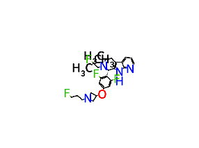 C[C@H]1Cc2c([nH]c3ncccc23)[C@H](c2c(F)cc(OC3CN(CCCF)C3)cc2F)N1CC(C)(C)F